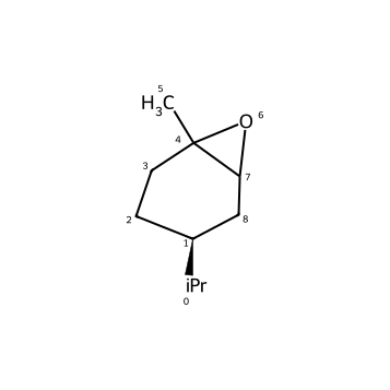 CC(C)[C@H]1CCC2(C)OC2C1